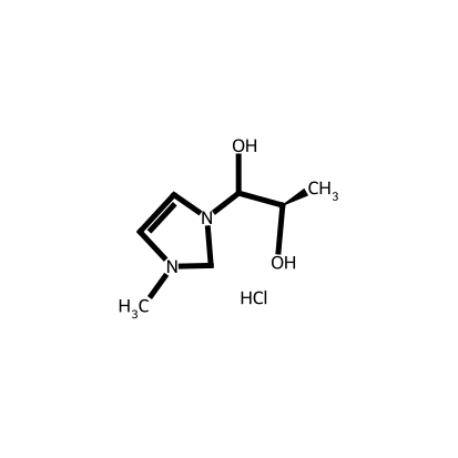 C[C@@H](O)C(O)N1C=CN(C)C1.Cl